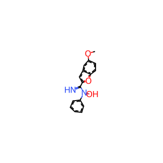 COc1ccc2oc(C(=N)N(O)c3ccccc3)cc2c1